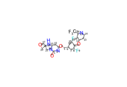 O=c1nc(OCc2cc(F)c(Oc3ccnc(C(F)(F)F)c3)c(F)c2)cc2n1CC1(COC1)N2